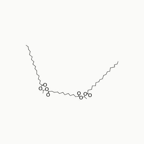 CCCCCCCCCCCCCCCCCC(=O)OC(C)OC(=O)CCCCCCCCCCC(=O)OC(C)OC(=O)CCCCCCCCCCCCCCCCC